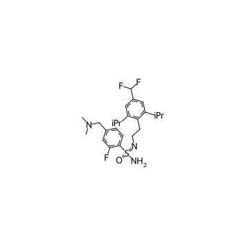 CC(C)c1cc(C(F)F)cc(C(C)C)c1CCN=S(N)(=O)c1ccc(CN(C)C)cc1F